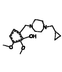 COc1ccc(CN2CCN(CC3CC3)CC2)c(O)c1OC